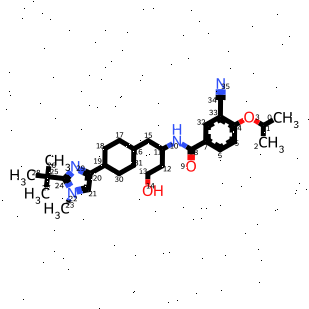 CC(C)Oc1ccc(C(=O)NC(CCO)CC2CCC(c3cn(C)c(C(C)(C)C)n3)CC2)cc1C#N